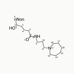 CCCCCCCCCC(O)CCCC(=O)NCCCN1CCCCCC1